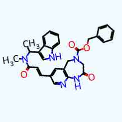 CC(c1c[nH]c2ccccc12)N(C)C(=O)C=Cc1cnc2c(c1)CN(C(=O)OCc1ccccc1)CC(=O)N2